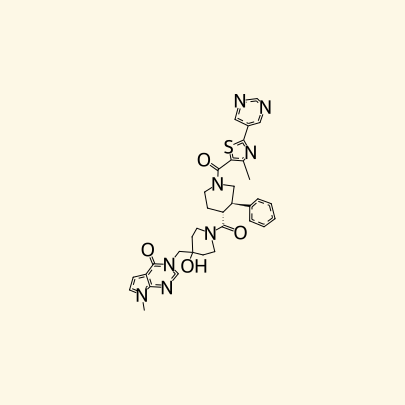 Cc1nc(-c2cncnc2)sc1C(=O)N1CC[C@@H](C(=O)N2CCC(O)(Cn3cnc4c(ccn4C)c3=O)CC2)[C@H](c2ccccc2)C1